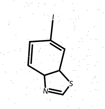 IC1=CC2SC=NC2C=C1